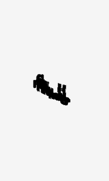 C=CC(=O)Nc1ccc(Cn2cc(Nc3ncc(Cl)c(OC(F)F)n3)cn2)cc1